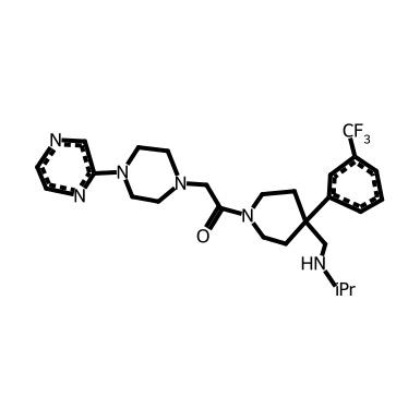 CC(C)NCC1(c2cccc(C(F)(F)F)c2)CCN(C(=O)CN2CCN(c3cnccn3)CC2)CC1